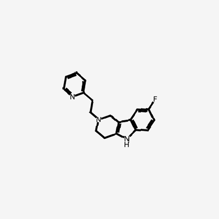 Fc1ccc2[nH]c3c(c2c1)CN(CCc1ccccn1)CC3